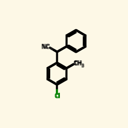 Cc1cc(Cl)ccc1C(C#N)c1ccccc1